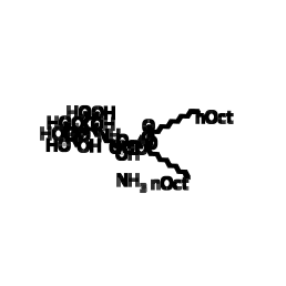 CCCCCCCC/C=C\CCCCCCCC(=O)OC[C@H](COP(=O)(O)OCCNCC(O)C(O)[C@H](O[C@@H]1OC(CO)[C@H](O)C(O)C1O)C(O)CO)OC(=O)CCCCCCC/C=C\CCCCCCCC.N